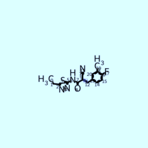 CCc1nnc(NC(=O)/C(C#N)=C/c2ccc(F)c(C)c2)s1